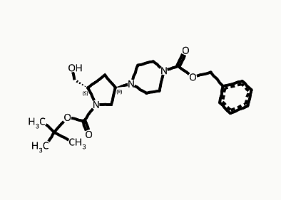 CC(C)(C)OC(=O)N1C[C@H](N2CCN(C(=O)OCc3ccccc3)CC2)C[C@H]1CO